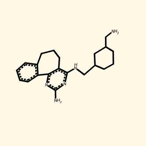 NCC1CCCC(CNc2nc(N)nc3c2CCCc2ccccc2-3)C1